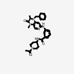 CC(=O)N1CCC(NC(=O)c2cccc(Nc3cc4c(cn3)N(C)C(=O)C(C)N4Cc3ccccc3)c2)CC1